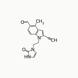 C#Cc1cc2c(C)c(C=O)ccc2n1CCn1cc[nH]c1=O